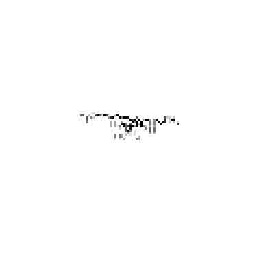 C=CCNCCCCCCCCCCCC.CN(C)C.Cl